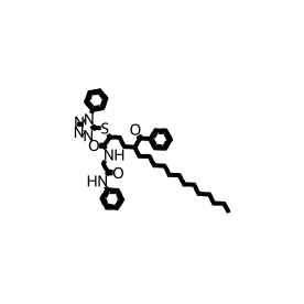 CCCCCCCCCCCCCC(CCC(Sc1nnnn1-c1ccccc1)C(=O)NCC(=O)Nc1ccccc1)C(=O)c1ccccc1